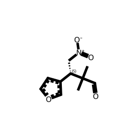 CC(C)(C=O)[C@@H](C[N+](=O)[O-])c1ccoc1